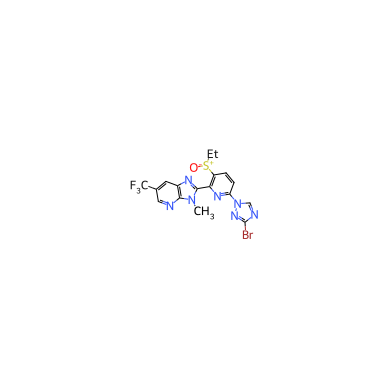 CC[S+]([O-])c1ccc(-n2cnc(Br)n2)nc1-c1nc2cc(C(F)(F)F)cnc2n1C